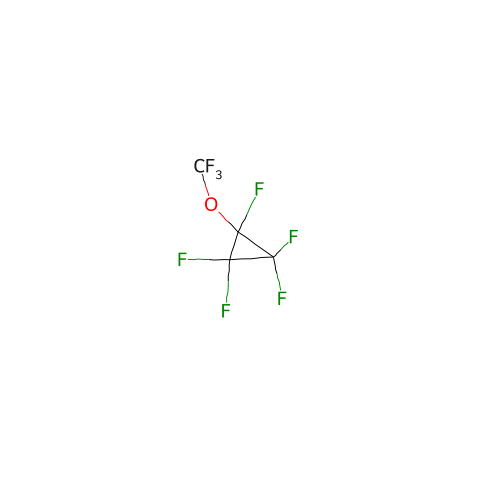 FC(F)(F)OC1(F)C(F)(F)C1(F)F